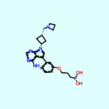 Nc1ncnc2c1c(-c1cccc(OCCCP(O)O)c1)cn2[C@H]1C[C@@H](CN2CCC2)C1